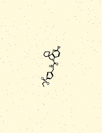 CCS(=O)(=O)c1ccc(CNC(=O)N2CC3(CCCC3)c3nc(Br)ccc32)cc1